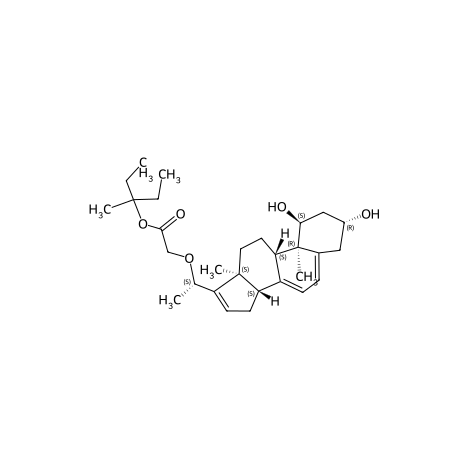 CCC(C)(CC)OC(=O)CO[C@@H](C)C1=CC[C@H]2C3=CC=C4C[C@@H](O)C[C@H](O)[C@]4(C)[C@H]3CC[C@]12C